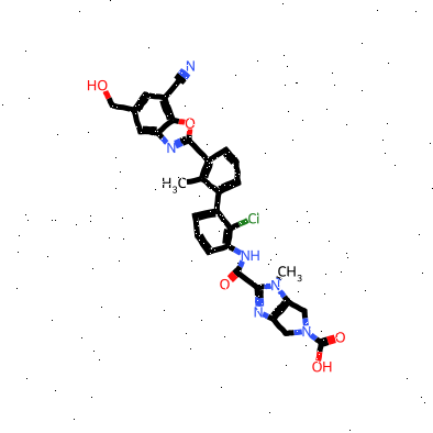 Cc1c(-c2nc3cc(CO)cc(C#N)c3o2)cccc1-c1cccc(NC(=O)c2nc3c(n2C)CN(C(=O)O)C3)c1Cl